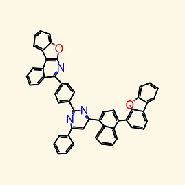 c1ccc(-c2cc(-c3ccc(-c4cccc5c4oc4ccccc45)c4ccccc34)nc(-c3ccc(-c4nc5oc6ccccc6c5c5ccccc45)cc3)n2)cc1